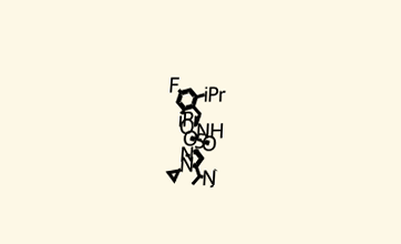 CC(C)c1cc(F)cc(C(C)C)c1CC(=O)NS(=O)(=O)c1cc(C(C)N(C)C)n(C2CC2)n1